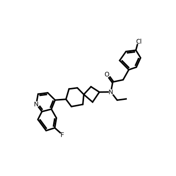 CCN(C(=O)Cc1ccc(Cl)cc1)C1CC2(CCC(c3ccnc4ccc(F)cc34)CC2)C1